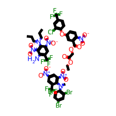 CCCN(CCC)c1c([N+](=O)[O-])cc(C(F)(F)F)c(N)c1[N+](=O)[O-].CCOC(=O)COC(=O)c1cc(Oc2ccc(C(F)(F)F)cc2Cl)ccc1[N+](=O)[O-].CN(c1c(Br)cc(Br)cc1Br)c1c([N+](=O)[O-])cc([N+](=O)[O-])cc1C(F)(F)F